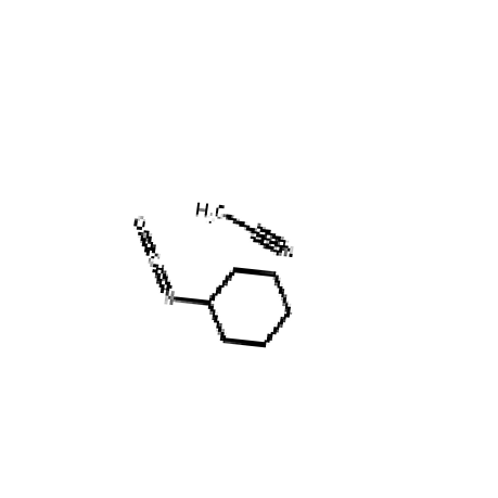 CC#N.O=C=NC1CCCCC1